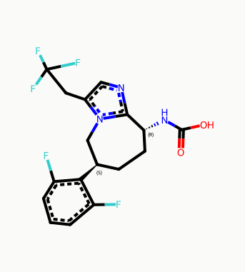 O=C(O)N[C@@H]1CC[C@@H](c2c(F)cccc2F)Cn2c(CC(F)(F)F)cnc21